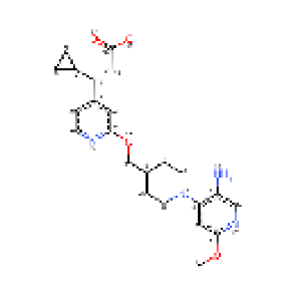 COc1cc(N2CCC(COc3cc([C@@H](CC(=O)O)C4CC4)ccn3)CC2)c(N)cn1